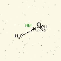 Br.CCCCCCCCCCCCc1ccccc1[C](C)(C)[Na]